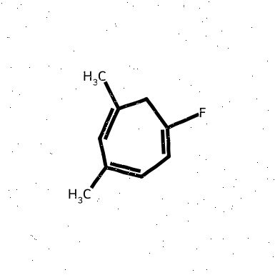 CC1=CC=C(F)CC(C)=C1